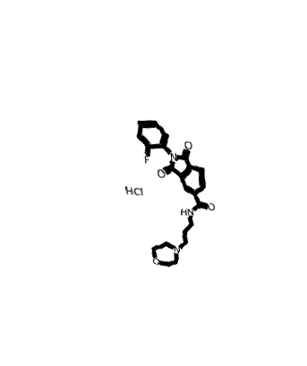 Cl.O=C(NCCCN1CCOCC1)c1ccc2c(c1)C(=O)N(c1ccccc1F)C2=O